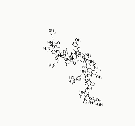 CC[C@H](C)[C@H](NC(=O)[C@H](CC(C)C)NC(=O)[C@H](CC(C)C)NC(=O)[C@H](CCCCN)NC(=O)[C@@H]1CCCN1C(=O)[C@H](C)NC(=O)[C@H](CCCCN)NC(=O)CN)C(=O)N[C@@H](Cc1ccc(O)cc1)C(=O)NCC(=O)N[C@@H](C)C(=O)N[C@@H](CC(N)=O)C(=O)N[C@@H](Cc1ccc(O)cc1)C(=O)N[C@@H](CCCNC(=N)N)C(=O)NCC(=O)N1CCC[C@H]1C(=O)NCC(=O)N[C@H](C(=O)N1CCC[C@H]1C(=O)N[C@@H](CO)C(=O)O)C(C)C